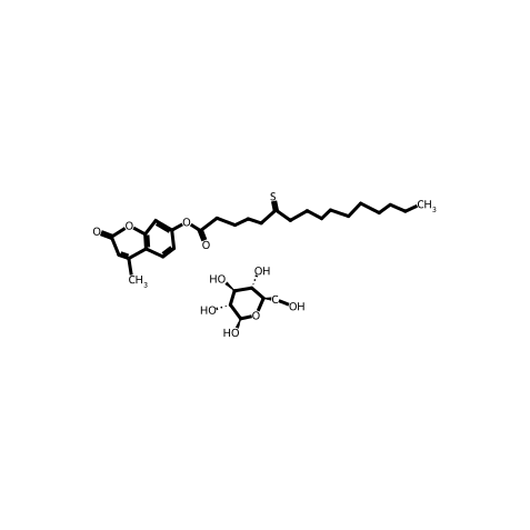 CCCCCCCCCCC(=S)CCCCC(=O)Oc1ccc2c(C)cc(=O)oc2c1.OC[C@H]1O[C@@H](O)[C@H](O)[C@@H](O)[C@@H]1O